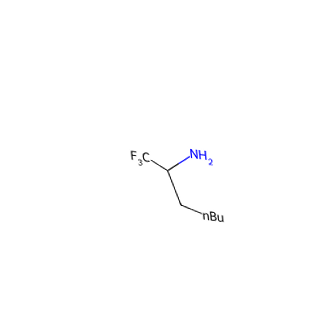 CCCCCC(N)C(F)(F)F